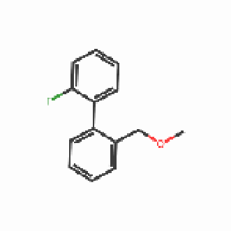 COCc1ccccc1-c1ccccc1F